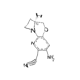 N#Cc1nc2c(cc1N)OC[C@@H]1CCN21